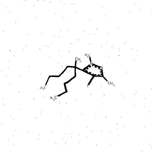 CCCCC(C)(CCCC)c1c(I)c(C)nn1C